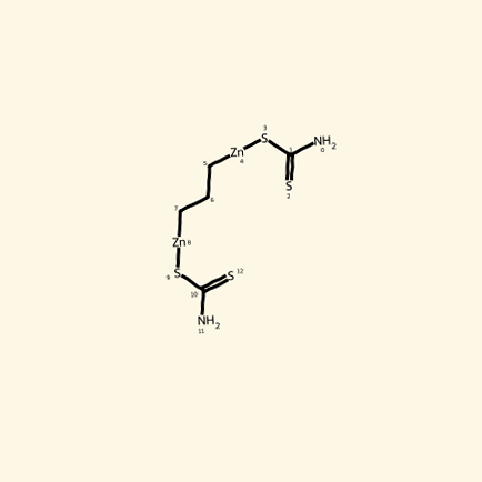 NC(=S)[S][Zn][CH2]C[CH2][Zn][S]C(N)=S